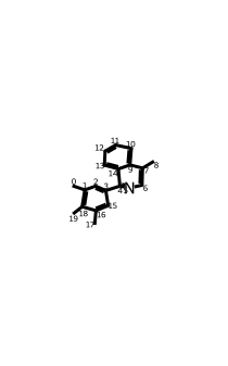 Cc1cc(-c2ncc(C)c3ccccc23)cc(C)c1C